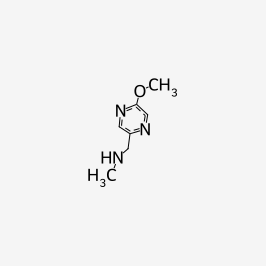 CNCc1cnc(OC)cn1